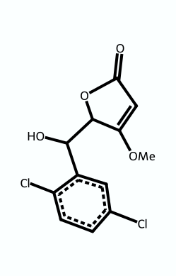 COC1=CC(=O)OC1C(O)c1cc(Cl)ccc1Cl